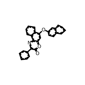 O=c1oc2cc(Oc3ccc4ccccc4c3)c3ccccc3c2nc1-c1ccccc1